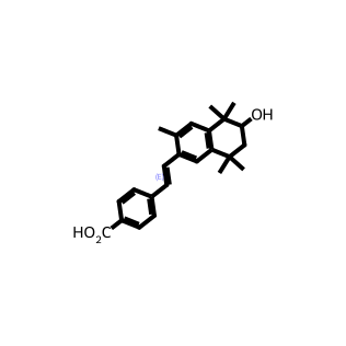 Cc1cc2c(cc1/C=C/c1ccc(C(=O)O)cc1)C(C)(C)CC(O)C2(C)C